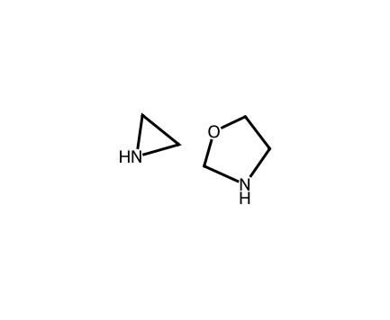 C1CN1.C1COCN1